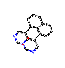 c1cc(-c2cncnc2)c2c(-c3cncnc3)cccc2c1